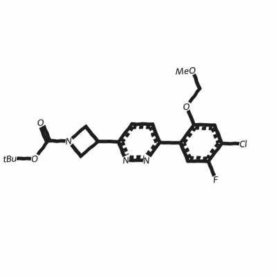 COCOc1cc(Cl)c(F)cc1-c1ccc(C2CN(C(=O)OC(C)(C)C)C2)nn1